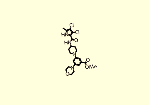 COC(=O)c1cc(N2CCOCC2)cc(N2CCC(NC(=O)c3[nH]c(C)c(Cl)c3Cl)CC2)c1